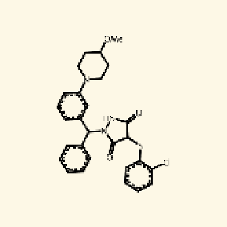 COC1CCN(c2cccc(C(c3ccccc3)N3NC(=O)C(Sc4ccccc4Cl)C3=O)c2)CC1